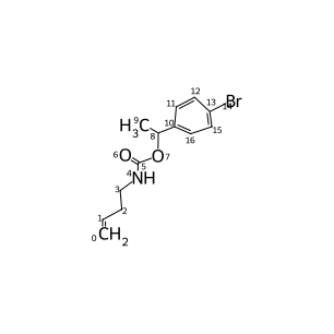 C=CCCNC(=O)OC(C)c1ccc(Br)cc1